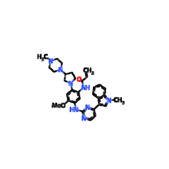 C=CC(=O)Nc1cc(Nc2nccc(-c3cn(C)c4ccccc34)n2)c(OC)cc1N1CCC(N2CCN(C)CC2)C1